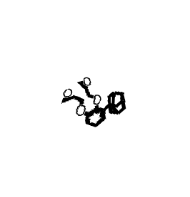 c1cc(OCC2CO2)c(OCC2CO2)c(C23CC4CC(CC(C4)C2)C3)c1